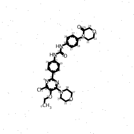 CCOc1c(Cl)nc(-c2ccc(NC(=O)Nc3ccc(N4CCOCC4=O)cc3)cc2)nc1N1CCOCC1